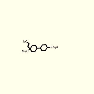 CCCCCCCC1CCC(C2CCC(C=CC#N)(OC)CC2)CC1